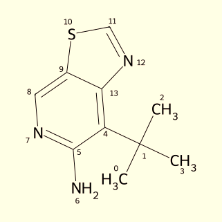 CC(C)(C)c1c(N)ncc2scnc12